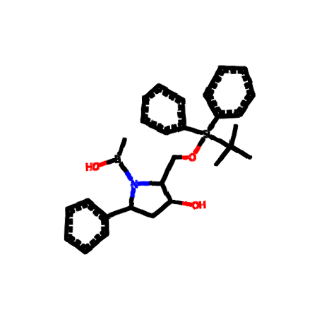 CB(O)N1C(c2ccccc2)CC(O)C1CO[Si](c1ccccc1)(c1ccccc1)C(C)(C)C